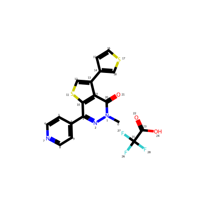 Cn1nc(-c2ccncc2)c2scc(-c3ccsc3)c2c1=O.O=C(O)C(F)(F)F